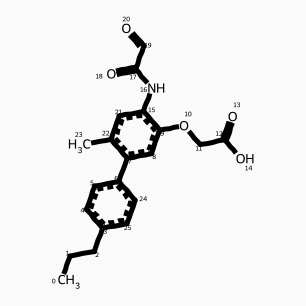 CCCc1ccc(-c2cc(OCC(=O)O)c(NC(=O)C=O)cc2C)cc1